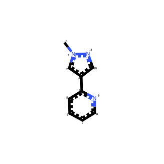 Cn1cc(-c2ccccn2)[c]n1